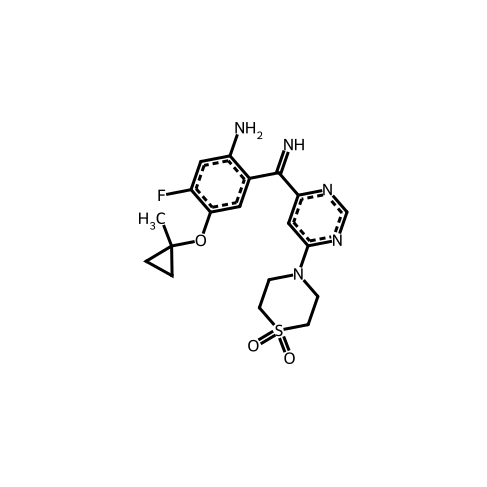 CC1(Oc2cc(C(=N)c3cc(N4CCS(=O)(=O)CC4)ncn3)c(N)cc2F)CC1